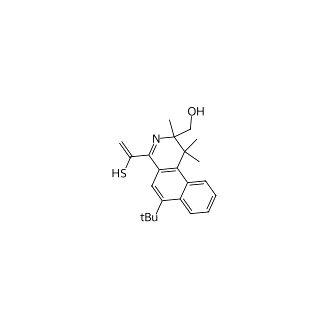 C=C(S)C1=NC(C)(CO)C(C)(C)c2c1cc(C(C)(C)C)c1ccccc21